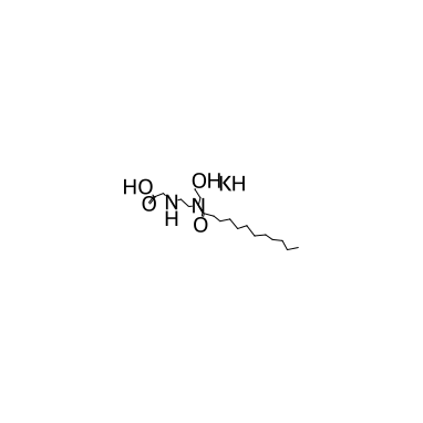 CCCCCCCCCCCC(=O)N(CCO)CCNCC(=O)O.[KH]